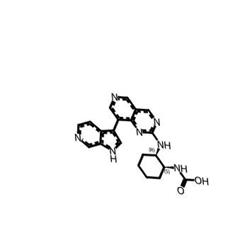 O=C(O)N[C@H]1CCCC[C@H]1Nc1ncc2cncc(-c3c[nH]c4cnccc34)c2n1